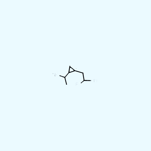 CCCC(CC)CC1CC1C(C)C#N